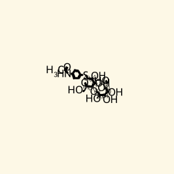 CC(=O)Nc1ccc(S[C@@H]2O[C@H](CO)[C@@H](O[C@@H]3O[C@H](CO)[C@@H](O)[C@H](O)[C@H]3O)[C@H](O)[C@H]2O)cc1